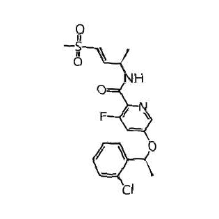 C[C@H](/C=C/S(C)(=O)=O)NC(=O)c1ncc(O[C@@H](C)c2ccccc2Cl)cc1F